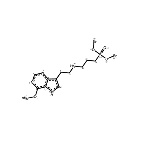 CCCCOc1ncnc2c(CCNCCCP(=O)(OCC)OCC)c[nH]c12